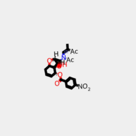 CC(=O)/C(C)=C\N(C(C)=O)[C@@H]1O[C@]23C(CC=C[C@H]2OC(=O)c2ccc([N+](=O)[O-])cc2)O[C@@H]1[C@@H]3O